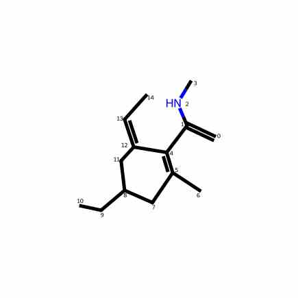 C=C(NC)C1=C(C)CC(CC)C/C1=C/C